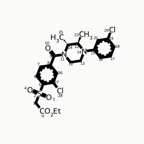 CCOC(=O)CS(=O)(=O)c1ccc(C(=O)N2CCN(c3cccc(Cl)c3)[C@H](C)[C@H]2C)cc1Cl